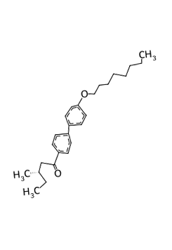 CCCCCCCCOc1ccc(-c2ccc(C(=O)C[C@@H](C)CC)cc2)cc1